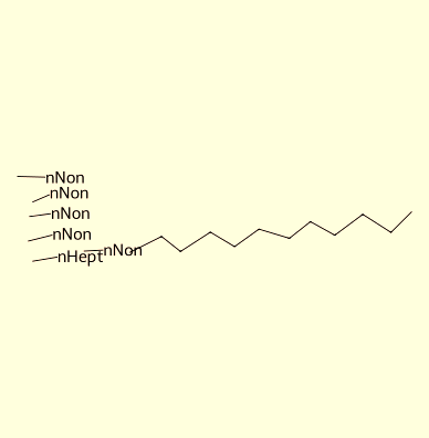 CCCCCCCC.CCCCCCCCCC.CCCCCCCCCC.CCCCCCCCCC.CCCCCCCCCC.CCCCCCCCCC.CCCCCCCCCCCC